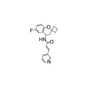 O=C(/C=C/c1cccnc1)NC1CC2(CCC2)Oc2ccc(F)cc21